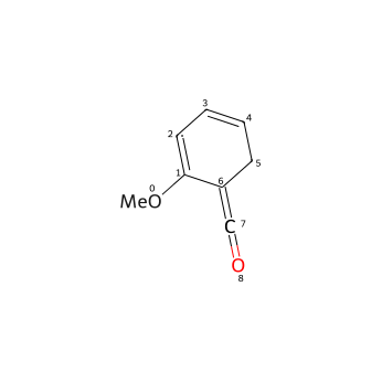 COC1=[C]C=CCC1=C=O